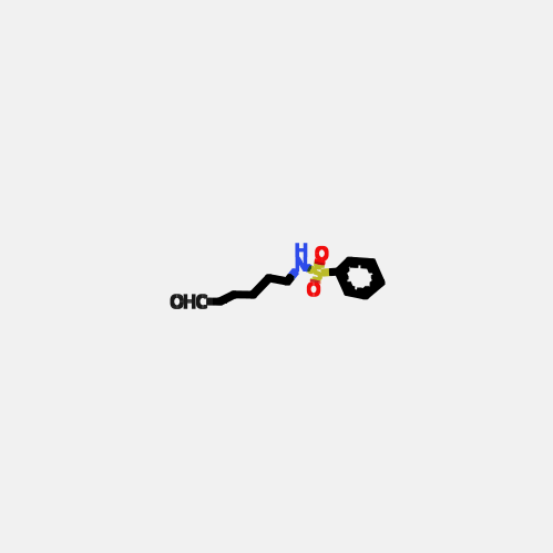 O=C[CH]CCCCNS(=O)(=O)c1ccccc1